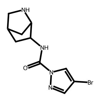 O=C(NC1CC2CNC1C2)n1cc(Br)cn1